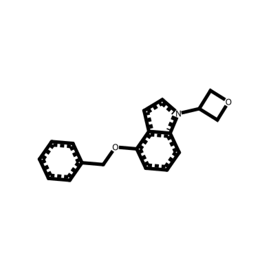 c1ccc(COc2cccc3c2ccn3C2COC2)cc1